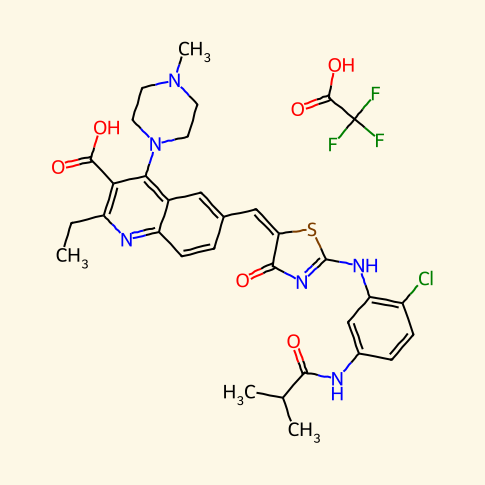 CCc1nc2ccc(C=C3SC(Nc4cc(NC(=O)C(C)C)ccc4Cl)=NC3=O)cc2c(N2CCN(C)CC2)c1C(=O)O.O=C(O)C(F)(F)F